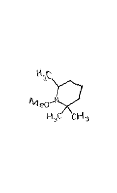 CON1C(C)CCCC1(C)C